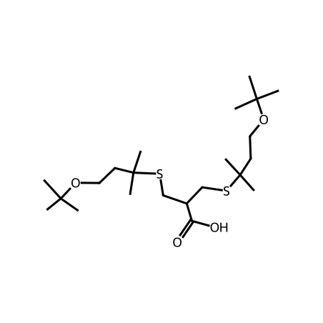 CC(C)(C)OCCC(C)(C)SCC(CSC(C)(C)CCOC(C)(C)C)C(=O)O